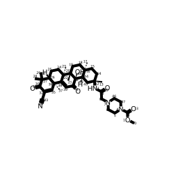 COC(=O)N1CCN(CC(=O)N[C@@]2(C)CC[C@]3(C)CC[C@@]4(C)[C@]5(C)CC[C@H]6C(C)(C)C(=O)C(C#N)=C[C@]6(C)C5=CC(=O)[C@]4(O)[C@@H]3C2)CC1